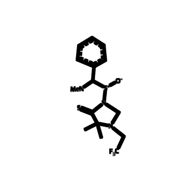 CNC(c1ccccc1)[S+]([O-])N1CN(CC(F)(F)F)C(C)(C)C1=S